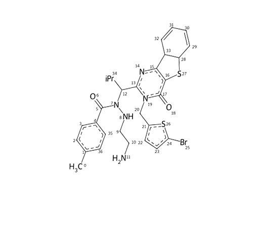 Cc1ccc(C(=O)N(NCCN)C(c2nc3c(c(=O)n2Cc2ccc(Br)s2)SC2C=CC=CC32)C(C)C)cc1